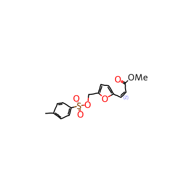 COC(=O)/C=C\c1ccc(COS(=O)(=O)c2ccc(C)cc2)o1